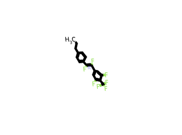 CCCc1ccc(/C(F)=C(\F)c2cc(F)c(C(F)(F)F)c(F)c2)cc1